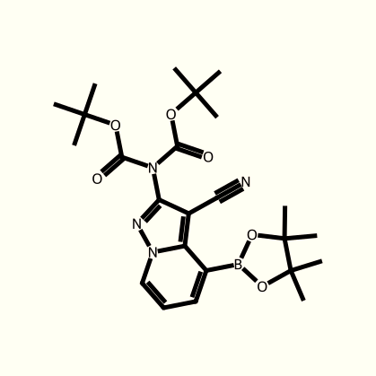 CC(C)(C)OC(=O)N(C(=O)OC(C)(C)C)c1nn2cccc(B3OC(C)(C)C(C)(C)O3)c2c1C#N